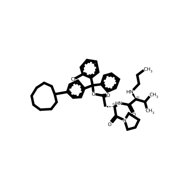 CCCN[C@H](C(=O)N[C@@H](CC(=O)OC(c1ccccc1)(c1ccc(C2CCCCCCCC2)cc1)c1ccccc1Cl)C(=O)N1CCCC1)C(C)C